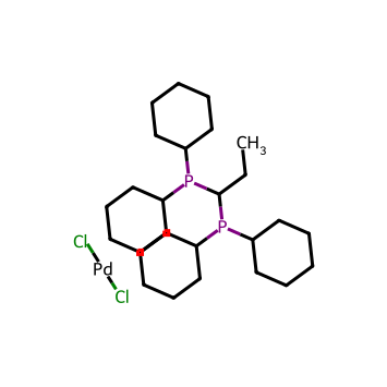 CCC(P(C1CCCCC1)C1CCCCC1)P(C1CCCCC1)C1CCCCC1.[Cl][Pd][Cl]